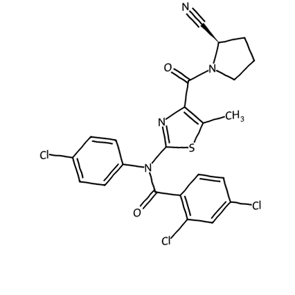 Cc1sc(N(C(=O)c2ccc(Cl)cc2Cl)c2ccc(Cl)cc2)nc1C(=O)N1CCC[C@@H]1C#N